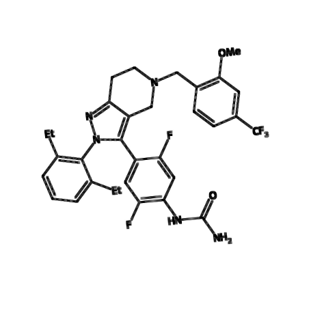 CCc1cccc(CC)c1-n1nc2c(c1-c1cc(F)c(NC(N)=O)cc1F)CN(Cc1ccc(C(F)(F)F)cc1OC)CC2